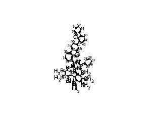 Bc1c(B)c(B)c2c(c1B)c1c(B)c(B)c(B)c(B)c1n2-c1nc(-c2ccccc2)nc(-c2cccc3c2oc2cc(-c4cccc5c4oc4ccccc45)ccc23)n1